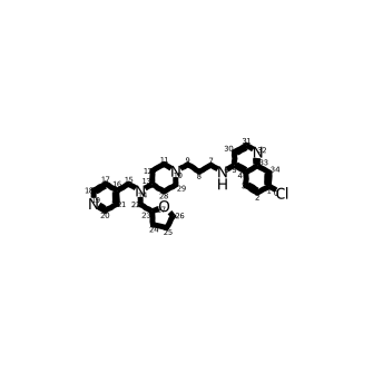 Clc1ccc2c(NCCCN3CCC(N(Cc4ccncc4)CC4CCCO4)CC3)ccnc2c1